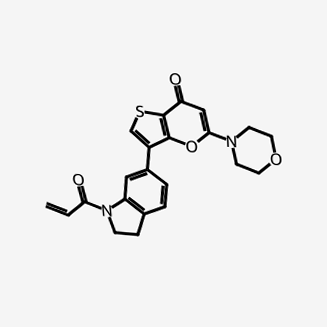 C=CC(=O)N1CCc2ccc(-c3csc4c(=O)cc(N5CCOCC5)oc34)cc21